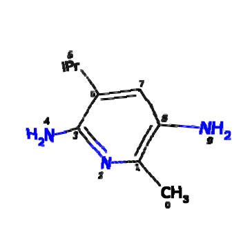 Cc1nc(N)c(C(C)C)cc1N